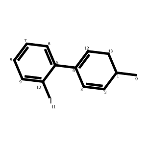 CC1C=CC(c2ccccc2I)=CC1